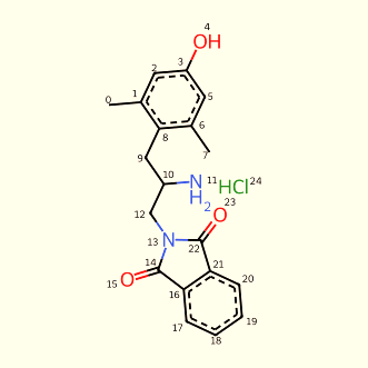 Cc1cc(O)cc(C)c1CC(N)CN1C(=O)c2ccccc2C1=O.Cl